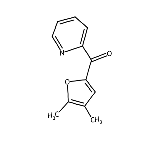 Cc1cc(C(=O)c2ccccn2)oc1C